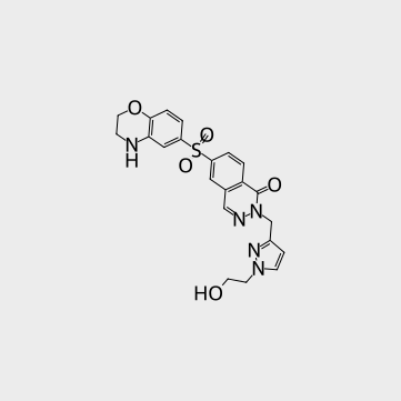 O=c1c2ccc(S(=O)(=O)c3ccc4c(c3)NCCO4)cc2cnn1Cc1ccn(CCO)n1